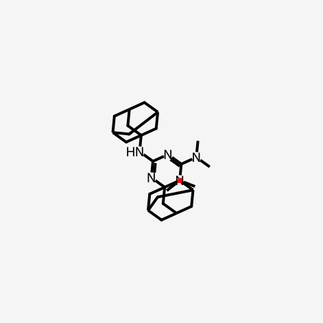 CN(C)C(=N/C(=N\C12CC3CC(CC(C3)C1)C2)NC12CC3CC(CC(C3)C1)C2)N(C)C